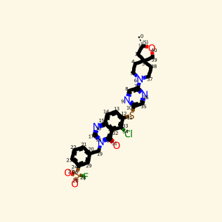 C[C@H]1CC2(CCN(c3cnc(Sc4ccc5ncn(Cc6cccc(S(=O)(=O)F)c6)c(=O)c5c4Cl)cn3)CC2)CO1